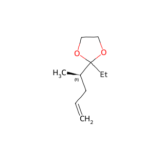 C=CC[C@@H](C)C1(CC)OCCO1